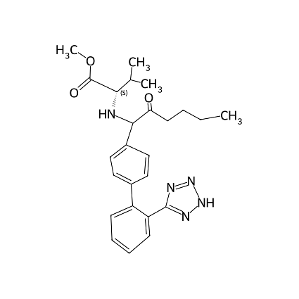 CCCCC(=O)C(N[C@H](C(=O)OC)C(C)C)c1ccc(-c2ccccc2-c2nn[nH]n2)cc1